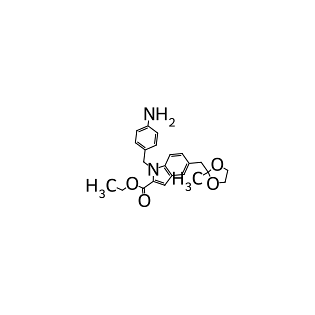 CCOC(=O)c1cc2cc(CC3(C)OCCO3)ccc2n1Cc1ccc(N)cc1